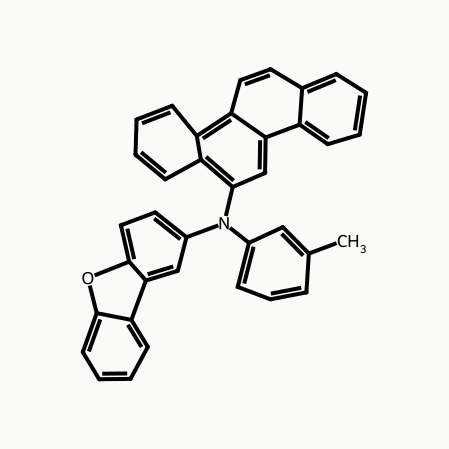 Cc1cccc(N(c2ccc3oc4ccccc4c3c2)c2cc3c4ccccc4ccc3c3ccccc23)c1